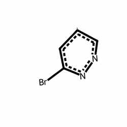 Brc1c[c]cnn1